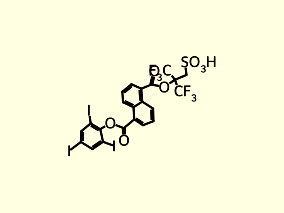 O=C(Oc1c(I)cc(I)cc1I)c1cccc2c(C(=O)OC(CS(=O)(=O)O)(C(F)(F)F)C(F)(F)F)cccc12